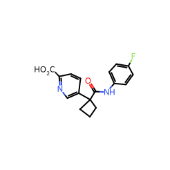 O=C(O)c1ccc(C2(C(=O)Nc3ccc(F)cc3)CCC2)cn1